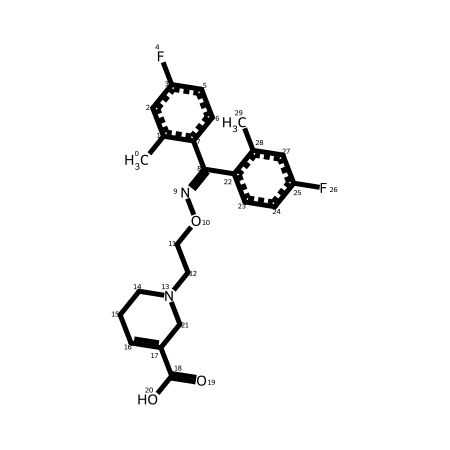 Cc1cc(F)ccc1C(=NOCCN1CCC=C(C(=O)O)C1)c1ccc(F)cc1C